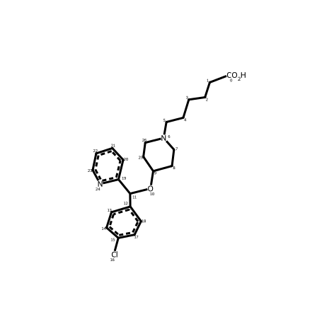 O=C(O)CCCCCN1CCC(OC(c2ccc(Cl)cc2)c2ccccn2)CC1